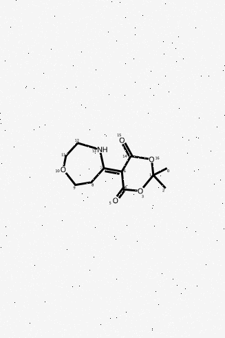 CC1(C)OC(=O)C(=C2CCOCCN2)C(=O)O1